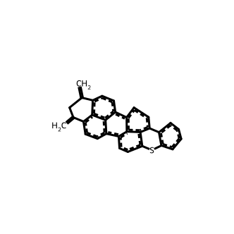 C=C1CC(=C)c2ccc3c4ccc5c6c(ccc(c7ccc1c2c73)c64)Sc1ccccc1-5